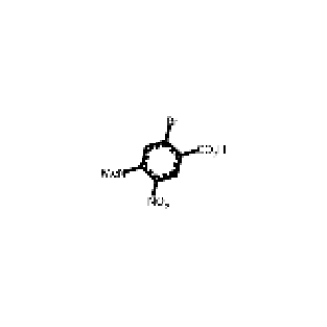 CNc1cc(Br)c(C(=O)O)cc1[N+](=O)[O-]